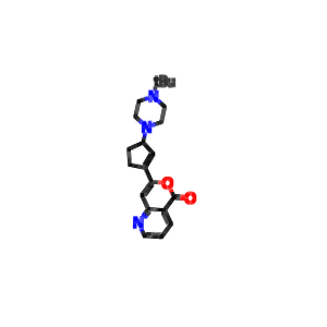 CC(C)(C)N1CCN(C2C=C(c3cc4ncccc4c(=O)o3)CC2)CC1